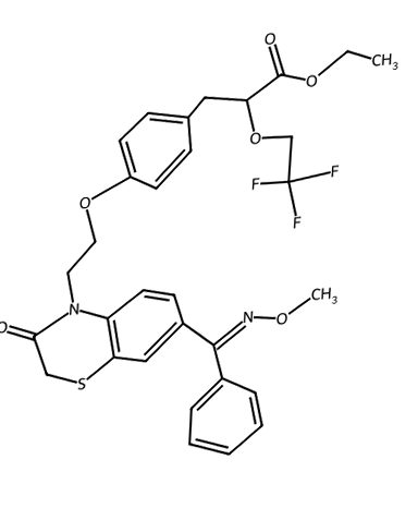 CCOC(=O)C(Cc1ccc(OCCN2C(=O)CSc3cc(C(=NOC)c4ccccc4)ccc32)cc1)OCC(F)(F)F